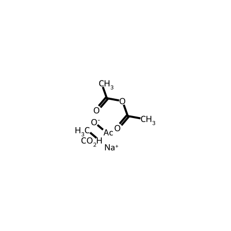 CC(=O)O.CC(=O)OC(C)=O.CC(=O)[O-].[Na+]